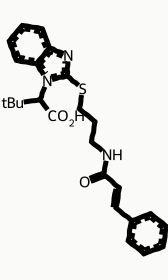 CC(C)(C)C(C(=O)O)n1c(SCCCNC(=O)C=Cc2ccccc2)nc2ccccc21